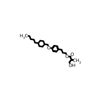 C=C(CO)C(=O)OCCCc1ccc(OCC2CCC(CCCCC)CC2)cc1